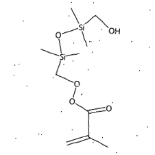 C=C(C)C(=O)OOC[Si](C)(C)O[Si](C)(C)CO